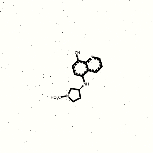 N#Cc1ccc(N[C@H]2CCN(C(=O)O)C2)c2cccnc12